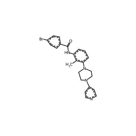 Cc1c(NC(=O)c2ccc(Br)cc2)cccc1N1CCN(c2ccncc2)CC1